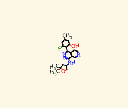 Cc1cc(O)c(-c2nnc(NC3COC(C)(C)C3)c3cnccc23)c(F)c1